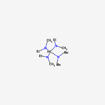 CCC(C)[N](C(C)CC)[Hf]([N](C)CC)([N](C)CC)[N](C)CC